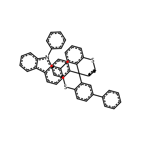 c1ccc(-c2ccc3c(c2)C2(c4ccccc4S3)c3ccccc3Sc3cccc(-c4cccc5c6ccccc6n(-c6ccccc6)c45)c32)cc1